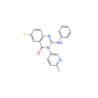 Cc1ccc(-n2c(Nc3ccccc3)nc3ccc(F)cc3c2=O)cn1